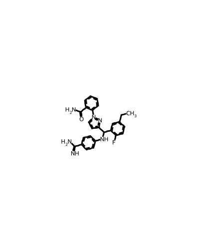 CCc1ccc(F)c(C(Nc2ccc(C(=N)N)cc2)c2ccn(-c3ccccc3C(N)=O)n2)c1